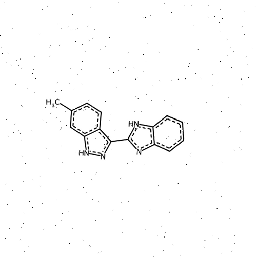 Cc1ccc2c(-c3nc4ccccc4[nH]3)n[nH]c2c1